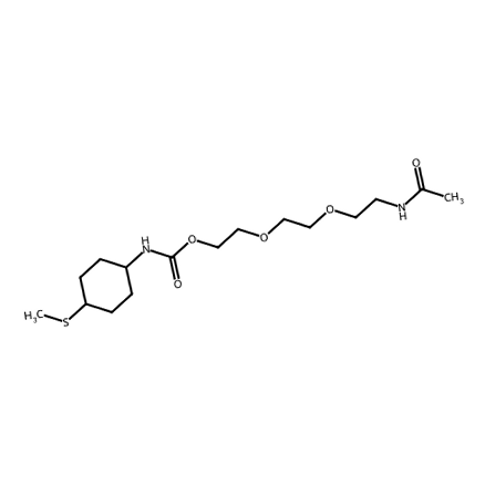 CSC1CCC(NC(=O)OCCOCCOCCNC(C)=O)CC1